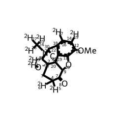 [2H]O[C@@]12CC([2H])([2H])C(=O)C3Oc4c(OC)c([2H])c([2H])c5c4[C@@]31CCN(C([2H])([2H])[2H])[C@]2([2H])C5